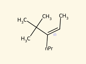 C/C=C(/CCC)C(C)(C)C